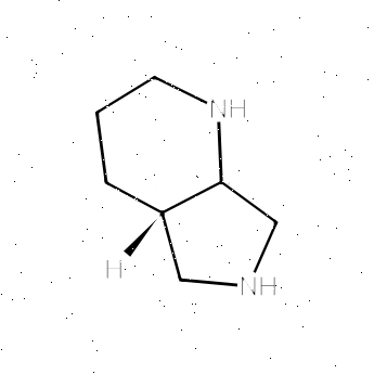 C1CN[C]2CNC[C@@H]2C1